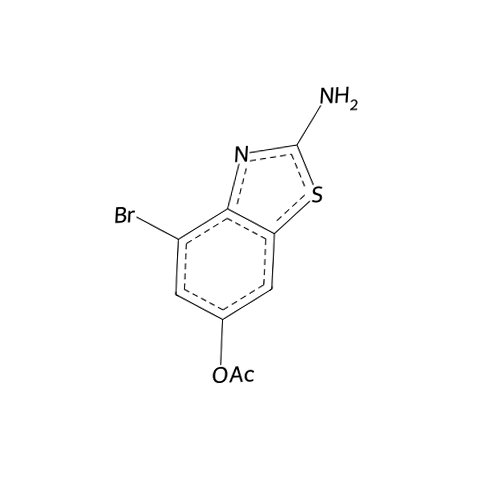 CC(=O)Oc1cc(Br)c2nc(N)sc2c1